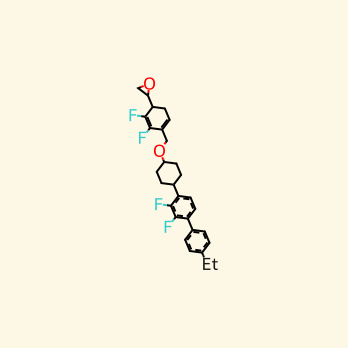 CCc1ccc(-c2ccc(C3CCC(OCC4=CCC(C5CO5)C(F)=C4F)CC3)c(F)c2F)cc1